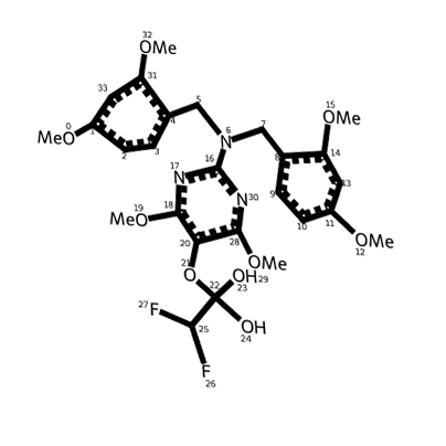 COc1ccc(CN(Cc2ccc(OC)cc2OC)c2nc(OC)c(OC(O)(O)C(F)F)c(OC)n2)c(OC)c1